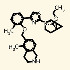 CCOC(=O)[C@@]12CCN(c3nc(-c4cccc(C)c4OCc4ccc5c(c4C)CCNC5)cs3)CC1C2